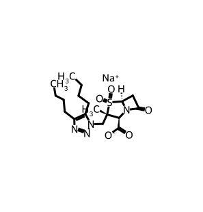 CCCCc1nnn(C[C@@]2(C)[C@H](C(=O)[O-])N3C(=O)C[C@@H]3S2(=O)=O)c1CCCC.[Na+]